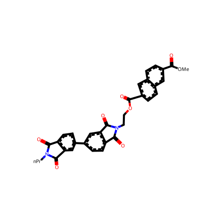 CCCN1C(=O)c2ccc(-c3ccc4c(c3)C(=O)N(CCOC(=O)c3ccc5cc(C(=O)OC)ccc5c3)C4=O)cc2C1=O